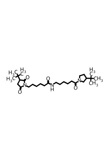 CC(C)(C)C1CCN(C(=O)CCCCCNC(=O)CCCCCN2C(=O)CC(C(C)(C)C)C2=O)C1